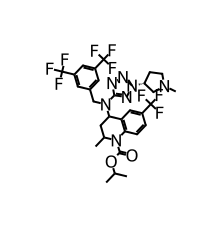 CC(C)OC(=O)N1c2ccc(C(F)(F)F)cc2C(N(Cc2cc(C(F)(F)F)cc(C(F)(F)F)c2)c2nnn([C@@H]3CCN(C)C3)n2)CC1C